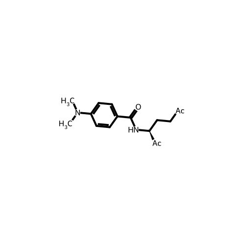 CC(=O)CC[C@H](NC(=O)c1ccc(N(C)C)cc1)C(C)=O